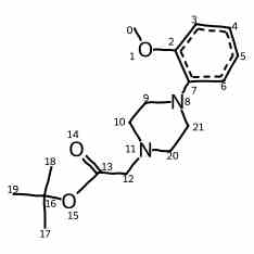 COc1ccccc1N1CCN(CC(=O)OC(C)(C)C)CC1